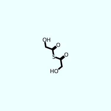 O=C(CO)SC(=O)CO